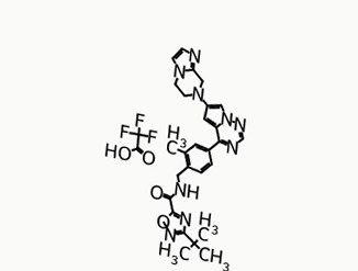 Cc1cc(-c2ncnn3cc(N4CCn5ccnc5C4)cc23)ccc1CNC(=O)c1nc(C(C)(C)C)no1.O=C(O)C(F)(F)F